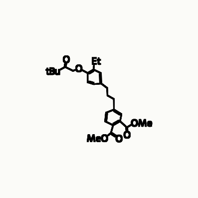 CCc1cc(CCCc2ccc(C(=O)OC)c(C(=O)OC)c2)ccc1OCC(=O)C(C)(C)C